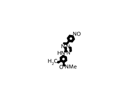 C=Cc1cc(Nc2nccn3c(-c4ccc(N=O)cc4)cnc23)ccc1C(=O)NC